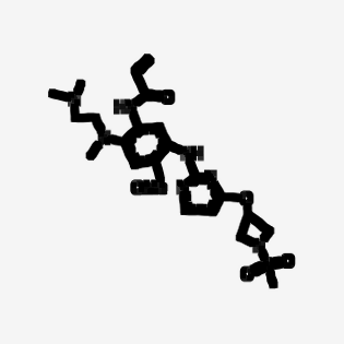 C=CC(=O)Nc1cc(Nc2nccc(OC3CN(S(C)(=O)=O)C3)n2)c(OC)cc1N(C)CCN(C)C